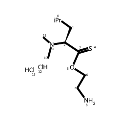 CC(C)C[C@@H](C(=S)OCCN)N(C)C.Cl.Cl